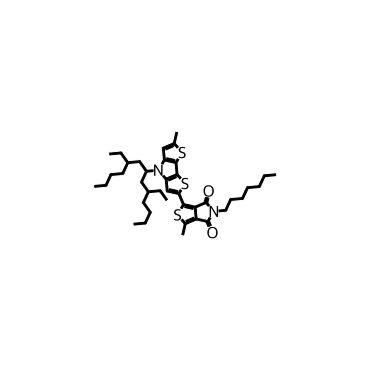 CCCCCCCN1C(=O)c2c(C)sc(-c3cc4c(s3)c3sc(C)cc3n4C(CC(CC)CCCC)CC(CC)CCCC)c2C1=O